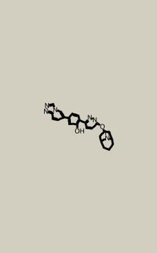 Oc1cc(-c2ccc3nncn3c2)ccc1-c1ccc(OC2CC3CCCC(C2)N3)nn1